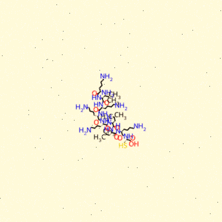 CC(C)C[C@H](NC(=O)[C@H](CC(C)C)NC(=O)[C@H](CCCCN)NC(=O)[C@H](CCCCN)NC(=O)[C@H](CCCCN)NC(=O)[C@H](CC(C)C)NC(=O)[C@@H](N)CCCCN)C(=O)N[C@@H](CCCCN)C(=O)N[C@@H](CS)C(=O)O